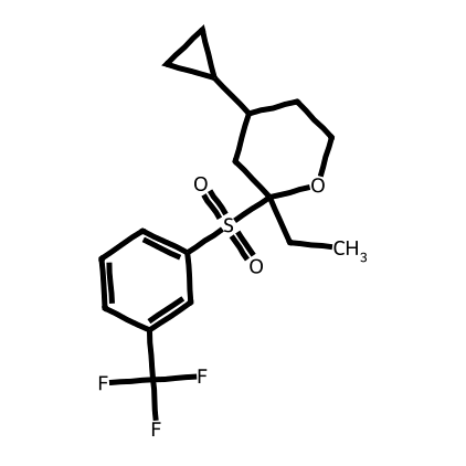 CCC1(S(=O)(=O)c2cccc(C(F)(F)F)c2)CC(C2CC2)CCO1